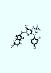 O=C1N(Cc2nc3nc(Cl)ccc3[nH]2)CC(Cc2ccc(Cl)cc2Cl)N1CC1(O)CC1